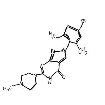 Cc1cc(Br)cc(C)c1-n1cc2c(=O)[nH]c(N3CCN(C)CC3)nc2n1